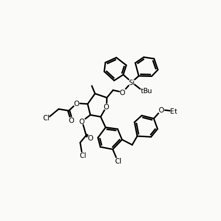 CCOc1ccc(Cc2cc(C3OC(CO[Si](c4ccccc4)(c4ccccc4)C(C)(C)C)C(C)C(OC(=O)CCl)C3OC(=O)CCl)ccc2Cl)cc1